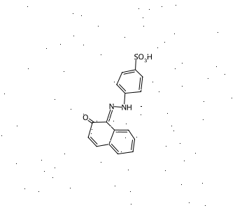 O=C1C=Cc2ccccc2C1=NNc1ccc(S(=O)(=O)O)cc1